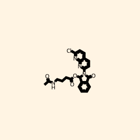 CC(=O)NCCCC(=O)OC1c2ccccc2C(=O)N1c1ccc2ccc(Cl)nc2n1